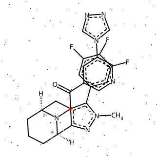 Cn1nc2c(c1-c1cc(F)c(F)c(F)c1)C[C@@H]1CCC[C@H]2N1CC(=O)c1cncc(-n2cnnc2)c1